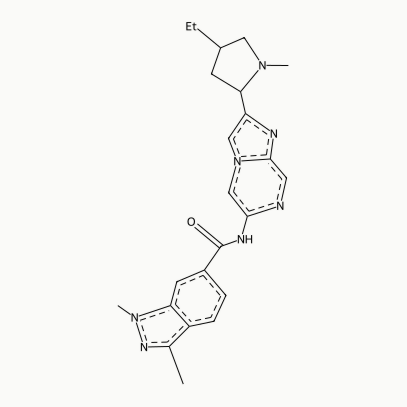 CCC1CC(c2cn3cc(NC(=O)c4ccc5c(C)nn(C)c5c4)ncc3n2)N(C)C1